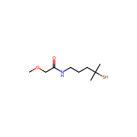 COCC(=O)NCCCC(C)(C)S